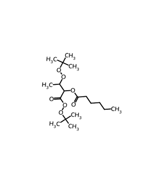 CCCCCC(=O)OC(C(=O)OOC(C)(C)C)C(C)OOC(C)(C)C